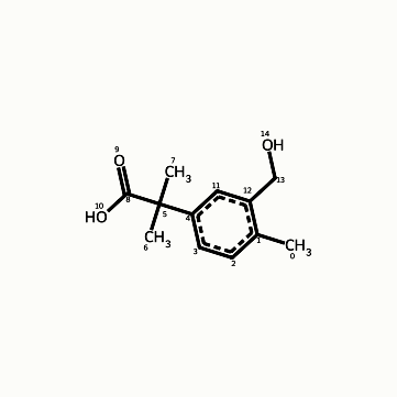 Cc1ccc(C(C)(C)C(=O)O)cc1CO